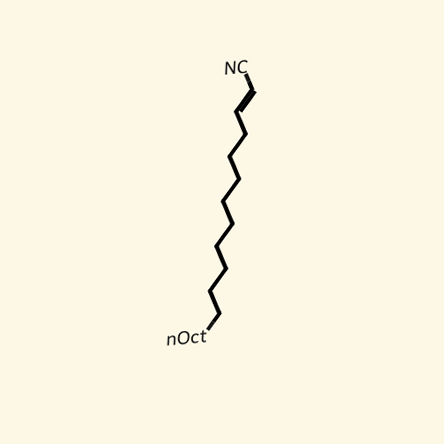 CCCCCCCCCCCCCCCCC/C=C/C#N